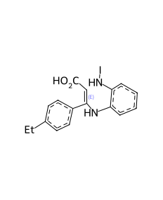 CCc1ccc(/C(=C\C(=O)O)Nc2ccccc2NI)cc1